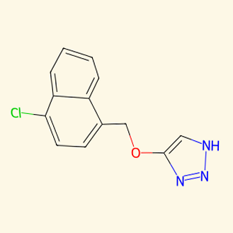 Clc1ccc(COc2c[nH]nn2)c2ccccc12